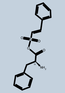 N[C@@H](Cc1ccccc1)C(=O)OS(=O)(=O)C=Cc1ccccc1